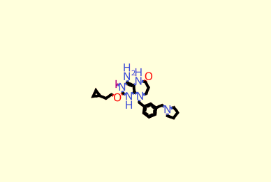 NC1=C2NC(=O)CCN(Cc3cccc(CN4CCCC4)c3)C2NC(OCCC2CC2)N1I